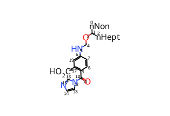 CCCCCCCCCC(CCCCCCC)OCNc1ccc(C(=O)n2ccnc2)c(C(=O)O)c1